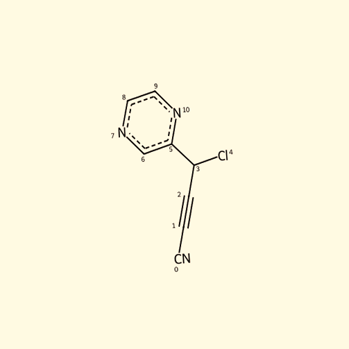 N#CC#CC(Cl)c1cnccn1